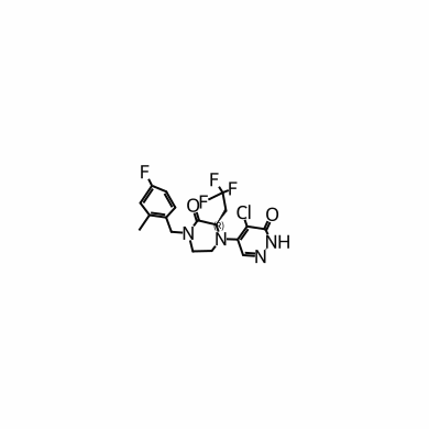 Cc1cc(F)ccc1CN1CCN(c2cn[nH]c(=O)c2Cl)[C@H](CC(F)(F)F)C1=O